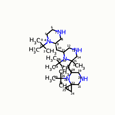 CC(C)(C)N1CCNC[C@H]1CC1CNCC(C)(CC2CNCC3(CC3)N2C(C)(C)C)N1C(C)(C)C